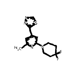 Cc1cc(-c2nncs2)cc(N2CCC(F)(F)CC2)n1